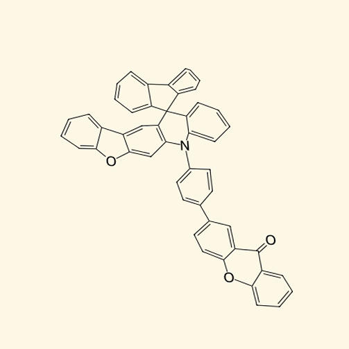 O=c1c2ccccc2oc2ccc(-c3ccc(N4c5ccccc5C5(c6ccccc6-c6ccccc65)c5cc6c(cc54)oc4ccccc46)cc3)cc12